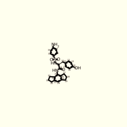 Nc1ccc(S(=O)(=O)N[C@@H](Cc2ccc(O)cc2)C(=O)Nc2c3c(cc4c2CCC4)CCC3)cc1